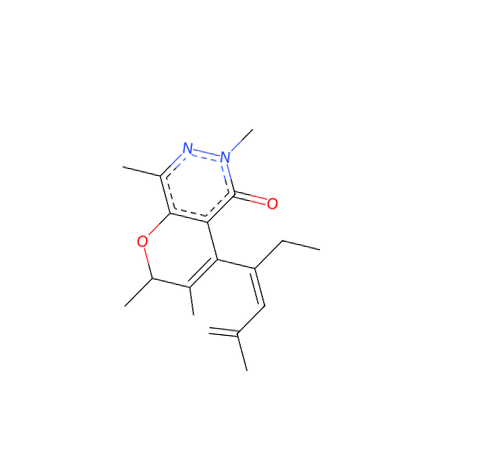 C=C(C)/C=C(/CC)C1=C(C)C(C)Oc2c(C)nn(C)c(=O)c21